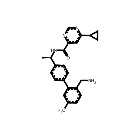 C[C@@H](NC(=O)c1cc(C2CC2)ncn1)c1ccc(-c2cc(C(F)(F)F)ccc2CN)cc1